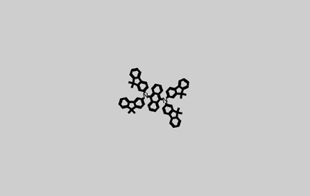 CC1(C)c2ccccc2-c2cc(N(c3ccc4c(c3)C(C)(C)c3ccccc3-4)c3c4ccccc4c(N(c4ccc5c(c4)C(C)(C)c4ccccc4-5)c4ccc5c(c4)C(C)(C)C4C=CC=CC54)c4ccccc34)ccc21